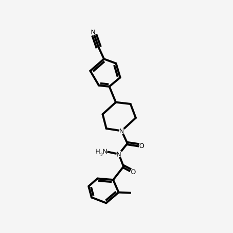 Cc1ccccc1C(=O)N(N)C(=O)N1CCC(c2ccc(C#N)cc2)CC1